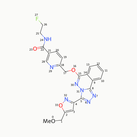 COCc1cc(-c2nnc3c4ccccc4c(OCc4ccc(C(=O)NCCF)cn4)nn23)no1